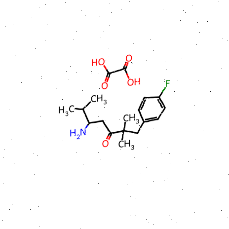 CC(C)C(N)CC(=O)C(C)(C)Cc1ccc(F)cc1.O=C(O)C(=O)O